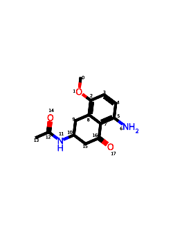 COc1ccc(N)c2c1CC(NC(C)=O)CC2=O